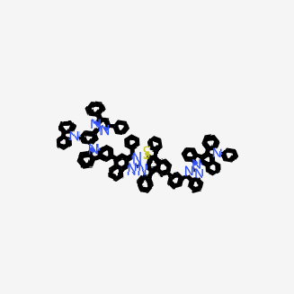 c1ccc(-c2cc(-c3ccccc3)nc(-c3cc(-n4c5ccccc5c5ccccc54)cc(-n4c5ccccc5c5cc(-c6cc7c(-c8ccccc8)nc(-n8c9ccccc9c9c%10cc(-c%11cccc(-c%12nc(-n%13c%14ccccc%14c%14c%15c%16ccccc%16n(-c%16ccccc%16)c%15c%15ccccc%15c%14%13)nc%13ccccc%12%13)c%11)ccc%10c%10c%11ccccc%11sc%10c98)nc7c7ccccc67)ccc54)c3)n2)cc1